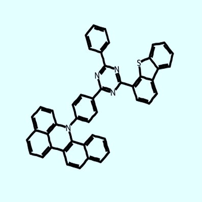 c1ccc(-c2nc(-c3ccc(N4c5c(ccc6ccccc56)-c5cccc6cccc4c56)cc3)nc(-c3cccc4c3sc3ccccc34)n2)cc1